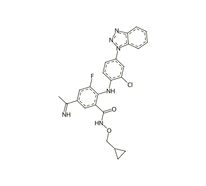 CC(=N)c1cc(F)c(Nc2ccc(-n3nnc4ccccc43)cc2Cl)c(C(=O)NOCC2CC2)c1